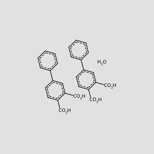 O.O=C(O)c1ccc(-c2ccccc2)cc1C(=O)O.O=C(O)c1ccc(-c2ccccc2)cc1C(=O)O